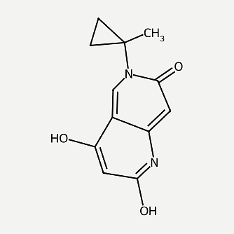 CC1(n2cc3c(O)cc(O)nc3cc2=O)CC1